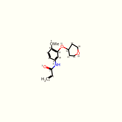 C=CC(=O)Nc1ccc(OC)c(OC2CCOCC2)c1